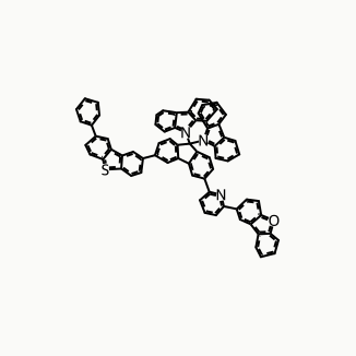 c1ccc(-c2ccc3sc4ccc(-c5ccc6c(c5)-c5cc(-c7cccc(-c8ccc9oc%10ccccc%10c9c8)n7)ccc5C6(n5c6ccccc6c6ccccc65)n5c6ccccc6c6ccccc65)cc4c3c2)cc1